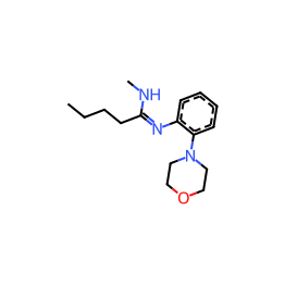 CCCC/C(=N/c1ccccc1N1CCOCC1)NC